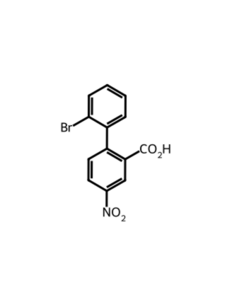 O=C(O)c1cc([N+](=O)[O-])ccc1-c1ccccc1Br